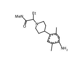 CCC(C(=O)NC)N1CCC(c2cc(C)c(N)cc2C)CC1